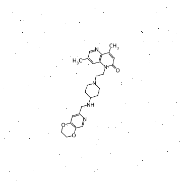 Cc1cnc2c(C)cc(=O)n(CCN3CCC(NCc4cc5c(cn4)OCCO5)CC3)c2c1